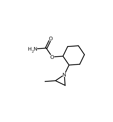 CC1CN1C1CCCCC1OC(N)=O